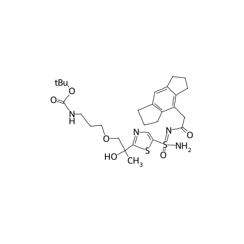 CC(C)(C)OC(=O)NCCCOCC(C)(O)c1ncc(S(N)(=O)=NC(=O)Cc2c3c(cc4c2CCC4)CCC3)s1